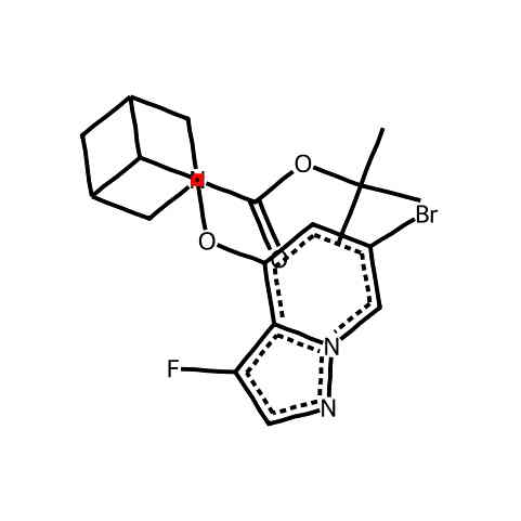 CC(C)(C)OC(=O)N1CC2CC(C1)C2COc1cc(Br)cn2ncc(F)c12